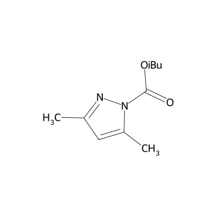 Cc1cc(C)n(C(=O)OCC(C)C)n1